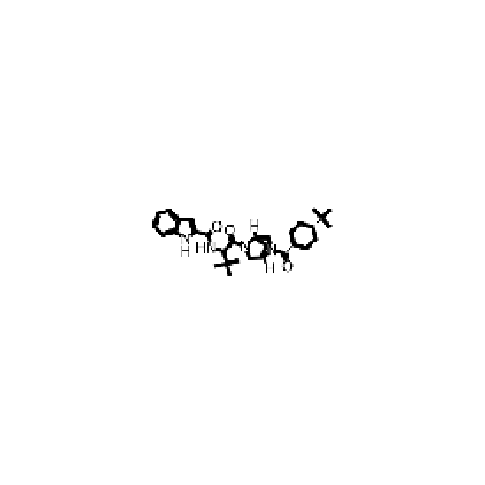 CC(C)(C)C(NC(=O)c1cc2ccccc2[nH]1)C(=O)N1C[C@@H]2C[C@H]1CN2C(=O)[C@H]1CC[C@@H](C(C)(C)C)CC1